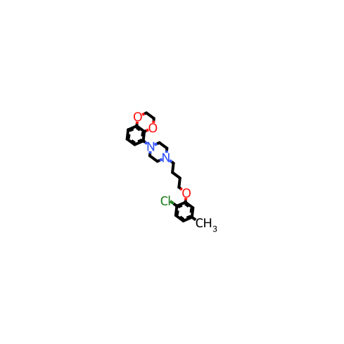 Cc1ccc(Cl)c(OCCCCN2CCN(c3cccc4c3OCCO4)CC2)c1